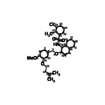 COc1ccc(COc2ncc3ccccc3c2NS(=O)(=O)c2cccc(Cl)c2C)cc1OCCN(C)C